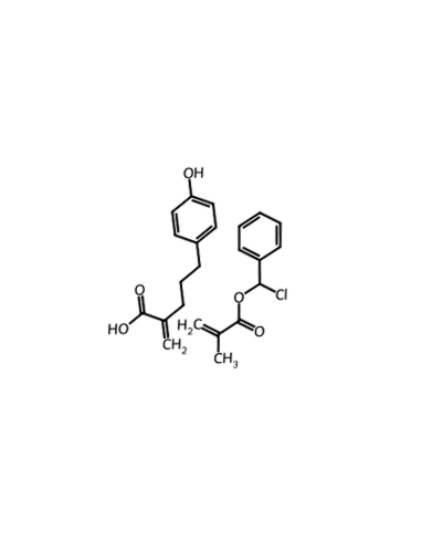 C=C(C)C(=O)OC(Cl)c1ccccc1.C=C(CCCc1ccc(O)cc1)C(=O)O